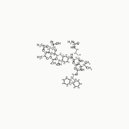 CC(=O)O[C@@H]1[C@@H](OC(C)=O)[C@H](CCc2cc(NC(=O)[C@H](CCCNC(N)=O)NC(=O)[C@@H](NC(=O)OCC3c4ccccc4-c4ccccc43)C(C)C)ccc2CO)O[C@H](C(=O)O)[C@H]1OC(C)=O